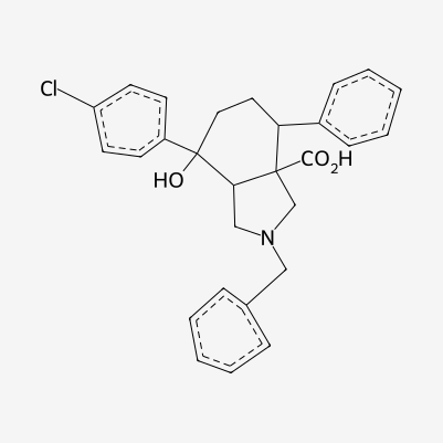 O=C(O)C12CN(Cc3ccccc3)CC1C(O)(c1ccc(Cl)cc1)CCC2c1ccccc1